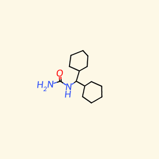 NC(=O)NC(C1CCCCC1)C1CCCCC1